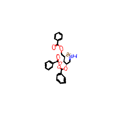 N=C[C@H](OC(=O)c1ccccc1)[C@H](OC(=O)c1ccccc1)[C@@H](Br)COC(=O)c1ccccc1